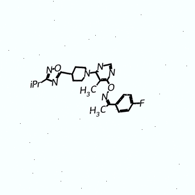 CC(=NOc1ncnc(N2CCC(c3nc(C(C)C)no3)CC2)c1C)c1ccc(F)cc1